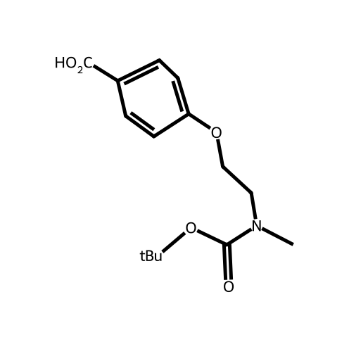 CN(CCOc1ccc(C(=O)O)cc1)C(=O)OC(C)(C)C